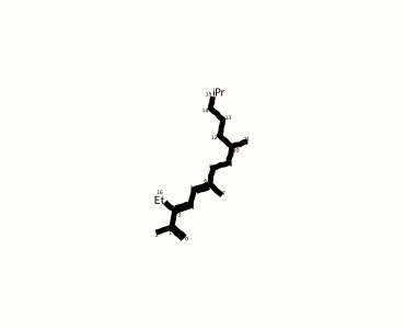 C=C(C)/C(=C/C=C(\C)CCC(C)CCCC(C)C)CC